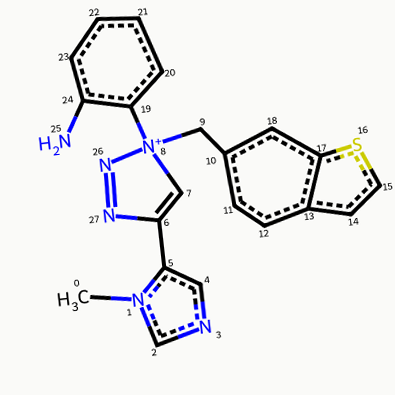 Cn1cncc1C1=C[N+](Cc2ccc3ccsc3c2)(c2ccccc2N)N=N1